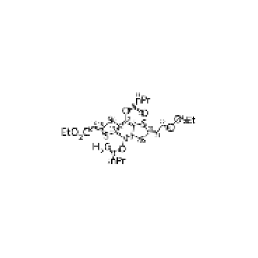 C=C(CCC)Oc1c2c(c(OC(=O)CCC)c3c1S/C(=C\C(=O)OCC)S3)S/C(=C\COOCC)S2